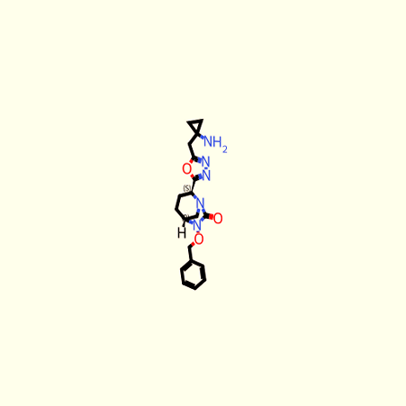 NC1(Cc2nnc([C@@H]3CC[C@@H]4CN3C(=O)N4OCc3ccccc3)o2)CC1